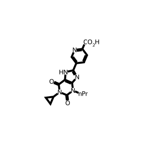 CCCn1c(=O)n(C2CC2)c(=O)c2[nH]c(-c3ccc(C(=O)O)nc3)nc21